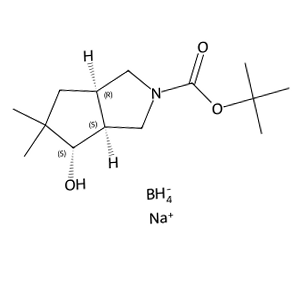 CC(C)(C)OC(=O)N1C[C@@H]2CC(C)(C)[C@@H](O)[C@@H]2C1.[BH4-].[Na+]